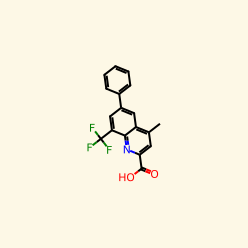 Cc1cc(C(=O)O)nc2c(C(F)(F)F)cc(-c3ccccc3)cc12